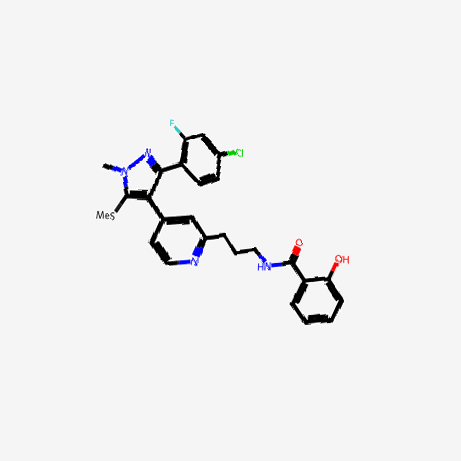 CSc1c(-c2ccnc(CCCNC(=O)c3ccccc3O)c2)c(-c2ccc(Cl)cc2F)nn1C